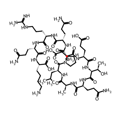 CC(C)C[C@H](NC(=O)[C@H](C)NC(=O)[C@H](CCC(N)=O)NC(=O)[C@@H](NC(=O)[C@H](CCC(=O)O)NC(=O)[C@@H](N)CC(=O)O)[C@@H](C)O)C(=O)N1CCC[C@H]1C(=O)N[C@@H](CCC(N)=O)C(=O)N[C@@H](CCCNC(=N)N)C(=O)N[C@@H](CCC(N)=O)C(=O)N[C@@H](CCCCN)C(=O)O